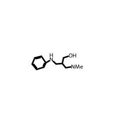 CNCC(CO)CNc1ccccc1